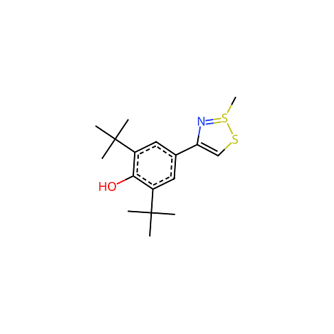 CS1=NC(c2cc(C(C)(C)C)c(O)c(C(C)(C)C)c2)=CS1